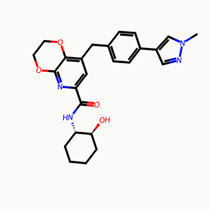 Cn1cc(-c2ccc(Cc3cc(C(=O)N[C@H]4CCCC[C@@H]4O)nc4c3OCCO4)cc2)cn1